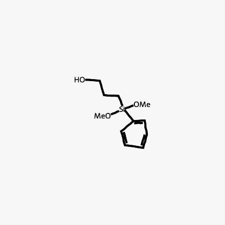 CO[Si](CCCO)(OC)c1ccccc1